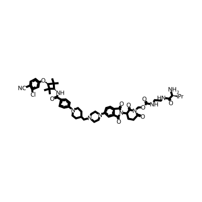 CC(C)[C@H](N)C(=O)NCCNC(=O)OCN1C(=O)CCC(N2C(=O)c3ccc(N4CCN(CC5CCN(c6ccc(C(=O)N[C@H]7C(C)(C)[C@H](Oc8ccc(C#N)c(Cl)c8)C7(C)C)cc6)CC5)CC4)cc3C2=O)C1=O